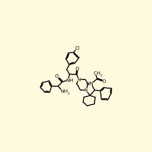 CC(=O)NC(c1ccccc1)C1(N2CCN(C(=O)C(Cc3ccc(Cl)cc3)NC(=O)C(N)c3ccccc3)CC2)CCCCC1